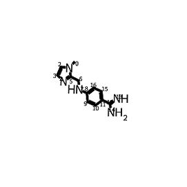 Cn1ccnc1CNc1ccc(C(=N)N)cc1